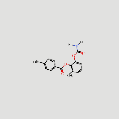 CCCc1ccc(C(=O)Oc2c(C)cccc2OC(=O)N(CC)CC)cc1